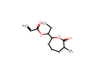 C=CC(=O)OC(CC)C1CCCC(C)C(=O)O1